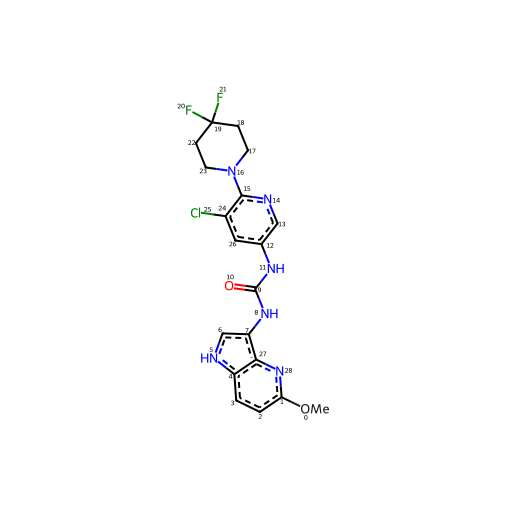 COc1ccc2[nH]cc(NC(=O)Nc3cnc(N4CCC(F)(F)CC4)c(Cl)c3)c2n1